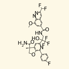 COc1cc(C(=O)NCC(O)(c2cc3c(c(-c4ccc(F)cc4)n2)OC[C@]3(C)C(N)=O)C(F)(F)F)cc2cc(C(F)F)nnc12